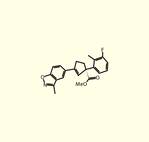 COC(=O)[C@]1(c2cccc(F)c2C)C=C(c2ccc3onc(C)c3c2)CC1